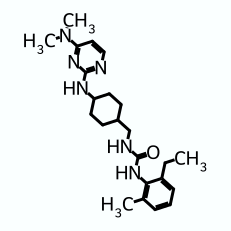 CCc1cccc(C)c1NC(=O)NCC1CCC(Nc2nccc(N(C)C)n2)CC1